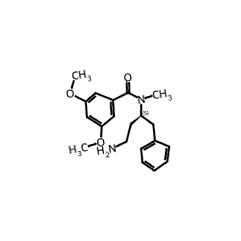 COc1cc(OC)cc(C(=O)N(C)[C@H](CCN)Cc2ccccc2)c1